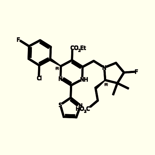 CCOC(=O)C1=C(CN2CC(F)C(C)(C)[C@H]2CCC(=O)O)NC(c2nccs2)=N[C@H]1c1ccc(F)cc1Cl